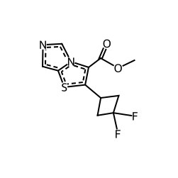 COC(=O)c1c(C2CC(F)(F)C2)sc2cncn12